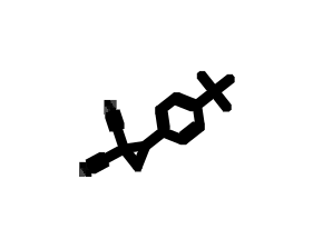 CC(C)(C)c1ccc(C2CC2(C#N)C#N)cc1